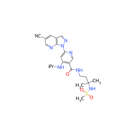 CC(C)Nc1cc(-n2ncc3cc(C#N)cnc32)ncc1C(=O)NCCC(C)(C)NS(C)(=O)=O